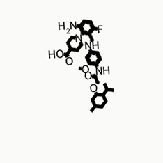 COc1cc(NCc2c(F)ccc(N)c2N2CCC(C(=O)O)CC2)ccc1NC(=O)COC1CC(C)CCC1C(C)C